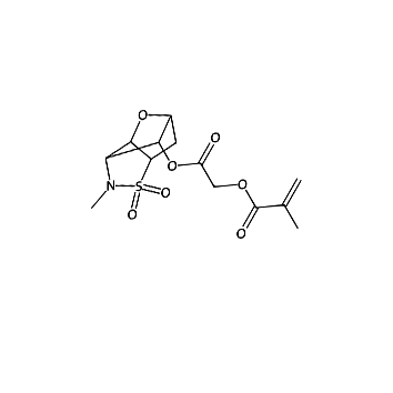 C=C(C)C(=O)OCC(=O)OC1C2CC3C(O2)C1N(C)S3(=O)=O